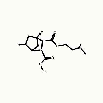 CBCCOC(=O)[C@@H]1[C@@H]2CC([C@@H](F)C2)N1C(=O)OC(C)(C)C